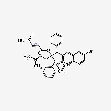 COc1nc2ccc(Br)cc2cc1C(c1ccccc1)C(CCN(C)C)(OC(=O)/C=C/C(=O)O)c1cccc2ccccc12